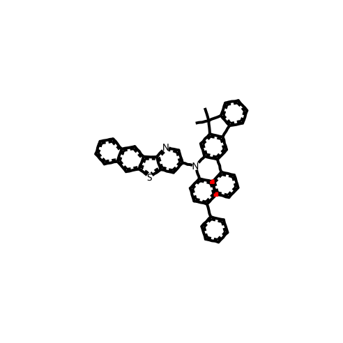 CC1(C)c2ccccc2-c2cc(-c3ccccc3)c(N(c3ccc(-c4ccccc4)cc3)c3cnc4c(c3)sc3cc5ccccc5cc34)cc21